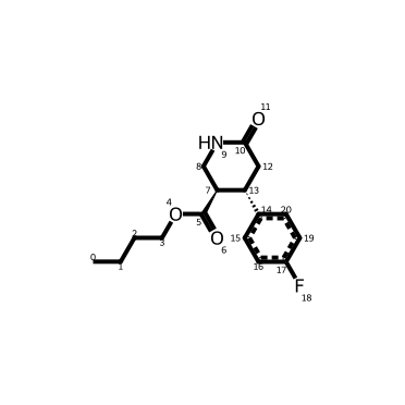 CCCCOC(=O)[C@H]1CNC(=O)C[C@@H]1c1ccc(F)cc1